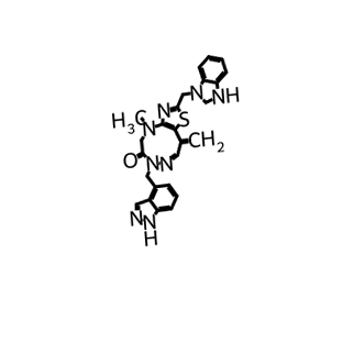 C=C1/C=N\N(Cc2cccc3[nH]ncc23)C(=O)CN(C)c2nc(CN3CNc4ccccc43)sc21